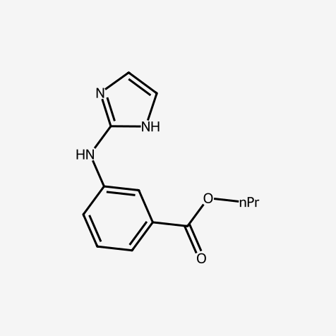 CCCOC(=O)c1cccc(Nc2ncc[nH]2)c1